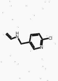 C=CNCc1ccc(Cl)nc1